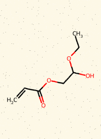 C=CC(=O)OCC(O)OCC